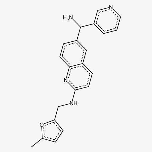 Cc1ccc(CNc2ccc3cc(C(N)c4cccnc4)ccc3n2)o1